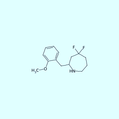 COc1ccccc1CC1CC(F)(F)CCCN1